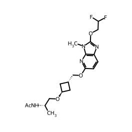 CC(=O)N[C@@H](C)CO[C@H]1C[C@H](COc2ccc3nc(OCC(F)F)n(C)c3n2)C1